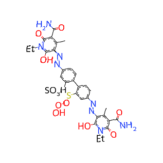 CCn1c(O)c(N=Nc2ccc(-c3ccc(N=Nc4c(C)c(C(N)=O)c(=O)n(CC)c4O)cc3S(=O)(=O)O)c(SOOO)c2)c(C)c(C(N)=O)c1=O